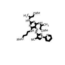 COCCCNc1nc(NC(C)COC)nc(NC(C)COC)c1N=Nc1nn(-c2ccccn2)cc1C#N